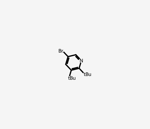 CC(C)(C)c1cc(Br)cnc1C(C)(C)C